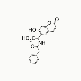 O=C(Cc1ccccc1)NC(C(=O)O)c1cc2ccc(=O)oc2cc1O